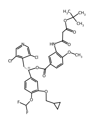 COc1ccc(C(=O)O[C@@H](Cc2c(Cl)cncc2Cl)c2ccc(OC(F)F)c(OCC3CC3)c2)cc1NC(=O)CC(=O)OC(C)(C)C